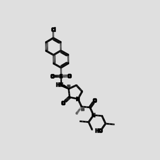 CC(O)CN(C(=O)[C@H](C)N1CC[C@H](NS(=O)(=O)c2ccc3cc(Cl)ccc3c2)C1=O)C(C)C